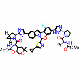 COC(=O)NC(C(=O)N1[C@@H]2C[C@@H]2C[C@H]1c1ncc(-c2ccc3c(c2)cc2n3C(c3ncc(C4CC4)s3)Oc3cc(-c4cnc([C@@H]5CCCN5C(=O)[C@@H](NC(=O)OC)C(C)C)[nH]4)cc(F)c3-2)[nH]1)C1CCOC(C)(C)C1